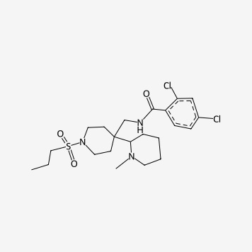 CCCS(=O)(=O)N1CCC(CNC(=O)c2ccc(Cl)cc2Cl)(C2CCCCN2C)CC1